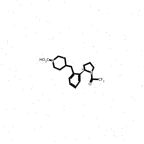 O=C(O)N1CCC(Cc2ccccc2[C@H]2CCCN2C(=O)C(F)(F)F)CC1